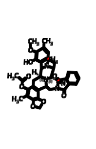 COc1c(C)cc2c(c1O)C1[C@@H]3Cc4c(OC(C)=O)c(C)c5c(c4C(CN4C(=O)c6ccccc6C4=O)N3[C@@H](C#N)C(C2)N1C)OCO5